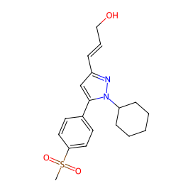 CS(=O)(=O)c1ccc(-c2cc(C=CCO)nn2C2CCCCC2)cc1